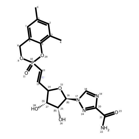 Cc1cc(C)c2c(c1)COP(=O)(/C=C/C1O[C@@H](n3cnc(C(N)=O)n3)[C@H](O)[C@@H]1O)O2